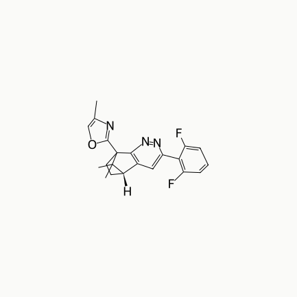 Cc1coc(C23CC[C@@H](c4cc(-c5c(F)cccc5F)nnc42)C3(C)C)n1